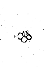 CC(=O)Oc1cccc2c1C1(C)CCNCC1CC2